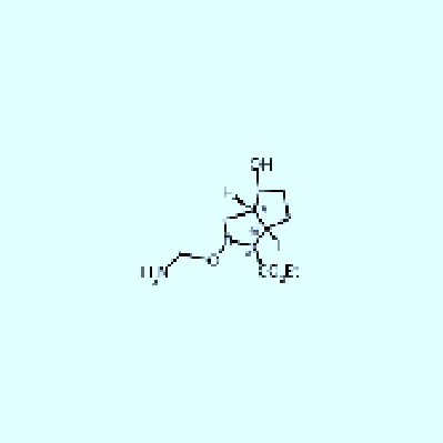 CCOC(=O)[C@H]1B(OCN)C[C@@H]2C(O)CC[C@H]12